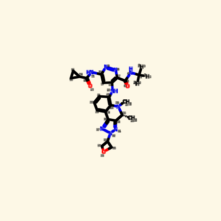 [2H]C([2H])([2H])NC(=O)c1nnc(NC(=O)C2CC2)cc1Nc1cccc2c1N(C)[C@H](C)c1nn(C3COC3)nc1-2